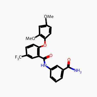 COc1ccc(Oc2ccc(C(F)(F)F)cc2C(=O)Nc2cccc(C(N)=O)c2)c(OC)c1